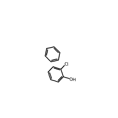 Oc1ccccc1Cl.c1ccccc1